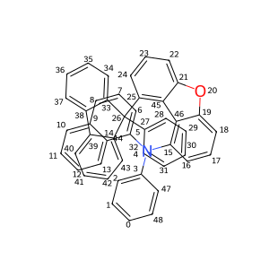 c1ccc(N(c2cccc3ccccc23)c2cccc3oc4cccc(C5(c6ccccc6)c6ccccc6-c6ccccc65)c4c23)cc1